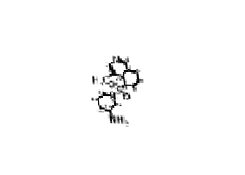 Cc1cncc2cccc(S(=O)(=O)N3CCCC(N)C3)c12